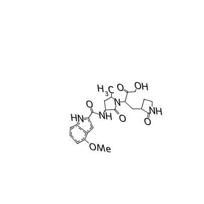 COc1cccc2[nH]c(C(=O)N[C@H]3CC(C)N(C(CC4CCNC4=O)C(=O)CO)C3=O)cc12